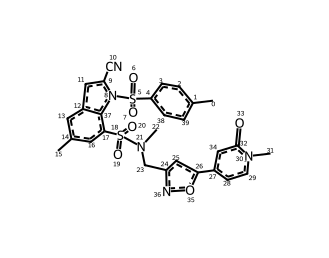 Cc1ccc(S(=O)(=O)n2c(C#N)cc3cc(C)cc(S(=O)(=O)N(C)Cc4cc(-c5ccn(C)c(=O)c5)on4)c32)cc1